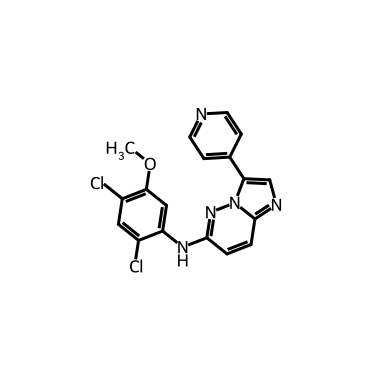 COc1cc(Nc2ccc3ncc(-c4ccncc4)n3n2)c(Cl)cc1Cl